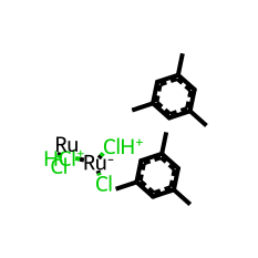 Cc1cc(C)cc(C)c1.Cc1cc(C)cc(C)c1.[Cl][Ru-]([ClH+])[ClH+].[Cl][Ru]